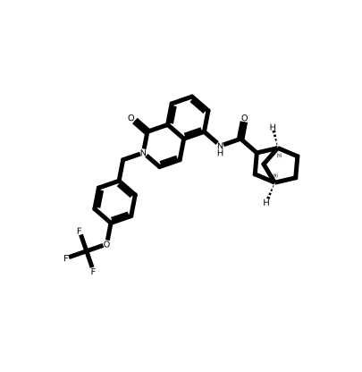 O=C(Nc1cccc2c(=O)n(Cc3ccc(OC(F)(F)F)cc3)ccc12)C1C[C@@H]2CC[C@H]1C2